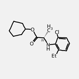 CCc1cccc(Cl)c1N[C@@H](C)C(=O)OC1CCCCC1